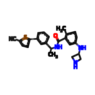 Cc1ccc(NC2CNC2)cc1C(=O)NC(C)c1cccc(-c2ccc(C#N)s2)c1